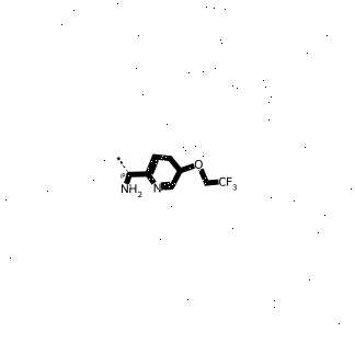 C[C@@H](N)C1=CCC(OCC(F)(F)F)C=N1